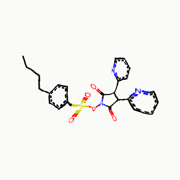 CCCCc1ccc(S(=O)(=O)ON2C(=O)C(c3ccccn3)C(c3ccccn3)C2=O)cc1